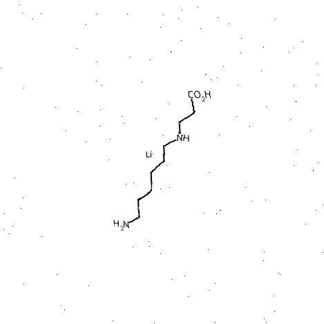 NCCCCCCNCCC(=O)O.[Li]